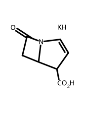 O=C(O)C1C=CN2C(=O)CC12.[KH]